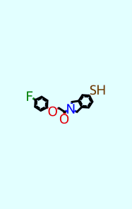 O=C(COc1ccc(F)cc1)N1Cc2ccc(S)cc2C1